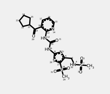 CS(=O)(=O)NCc1nc(NC(=O)Nc2ncccc2C(=O)C2CCCC2)sc1S(C)(=O)=O